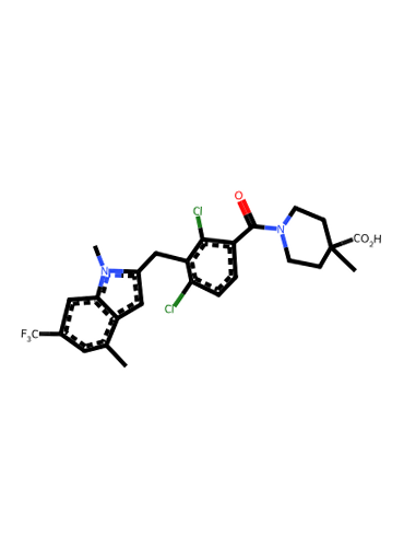 Cc1cc(C(F)(F)F)cc2c1cc(Cc1c(Cl)ccc(C(=O)N3CCC(C)(C(=O)O)CC3)c1Cl)n2C